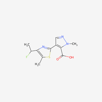 Cc1sc(-c2cnn(C)c2C(=O)O)nc1C(C)F